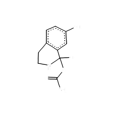 CC1(OC(N)=O)NCCc2ccc(O)cc21